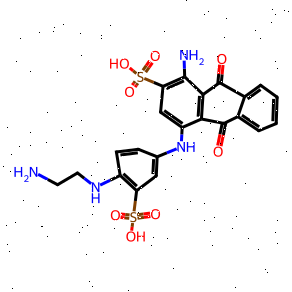 NCCNc1ccc(Nc2cc(S(=O)(=O)O)c(N)c3c2C(=O)c2ccccc2C3=O)cc1S(=O)(=O)O